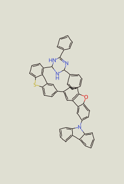 c1ccc(C2=NC(c3ccccc3)NC(c3cccc4sc5ccc(-c6ccc7oc8ccc(-n9c%10ccccc%10c%10ccccc%109)cc8c7c6)cc5c34)N2)cc1